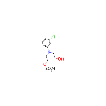 O=S(=O)(O)OCCN(CCO)c1cccc(Cl)c1